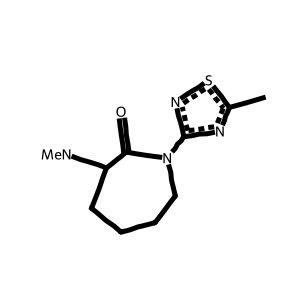 CNC1CCCCN(c2nsc(C)n2)C1=O